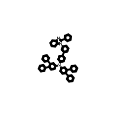 c1ccc(-c2ccc(N(c3ccc(-c4cccc(-n5c(-c6ccccc6)nc6ccccc65)c4)cc3)c3ccc(-c4ccccc4)c(-c4ccccc4)c3)cc2-c2ccccc2)cc1